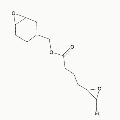 CCC1OC1CCCC(=O)OCC1CCC2OC2C1